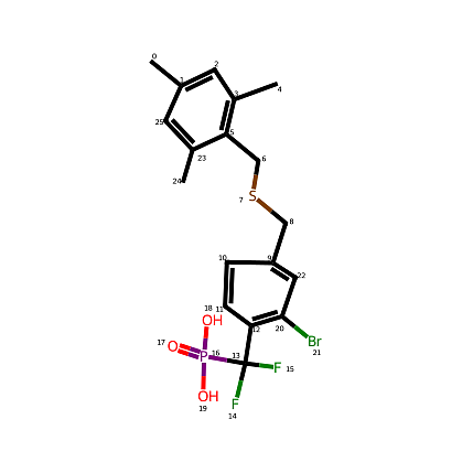 Cc1cc(C)c(CSCc2ccc(C(F)(F)P(=O)(O)O)c(Br)c2)c(C)c1